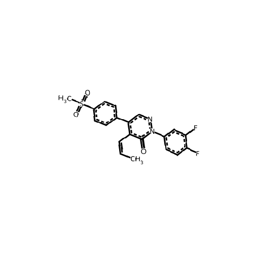 C/C=C\c1c(-c2ccc(S(C)(=O)=O)cc2)cnn(-c2ccc(F)c(F)c2)c1=O